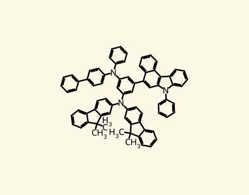 CC1(C)c2ccccc2-c2ccc(N(c3cc(-c4cc5c(c6ccccc46)c4ccccc4n5-c4ccccc4)cc(N(c4ccccc4)c4ccc(-c5ccccc5)cc4)c3)c3ccc4c(c3)C(C)(C)c3ccccc3-4)cc21